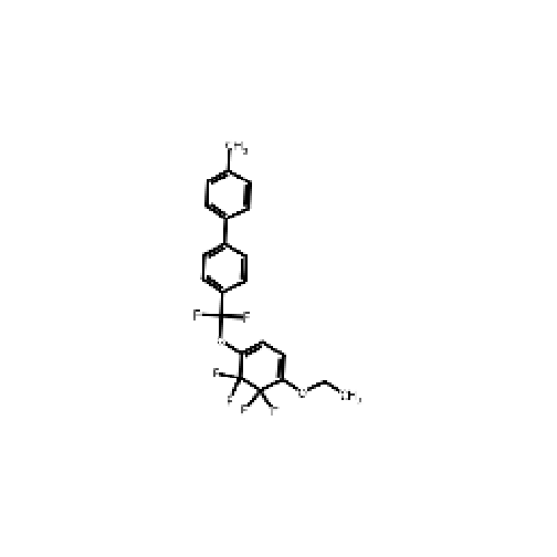 CCOC1=CC=C(OC(F)(F)c2ccc(-c3ccc(C)cc3)cc2)C(F)(F)C1(F)F